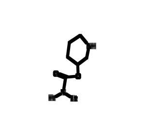 CCN(CC)C(=O)OC1CCCNC1